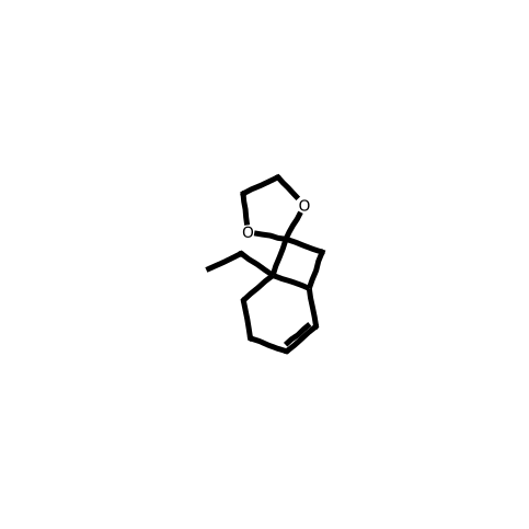 CCC12CCC=CC1CC21OCCO1